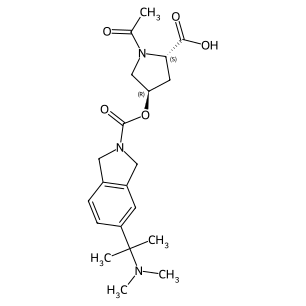 CC(=O)N1C[C@H](OC(=O)N2Cc3ccc(C(C)(C)N(C)C)cc3C2)C[C@H]1C(=O)O